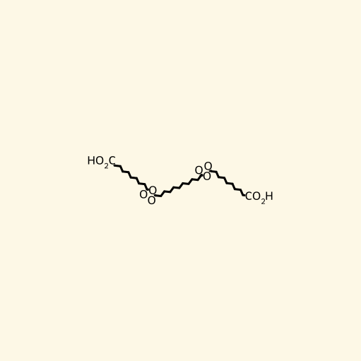 O=C(O)CCCCCCCCC(=O)OC(=O)CCCCCCCCCC(=O)OC(=O)CCCCCCCCC(=O)O